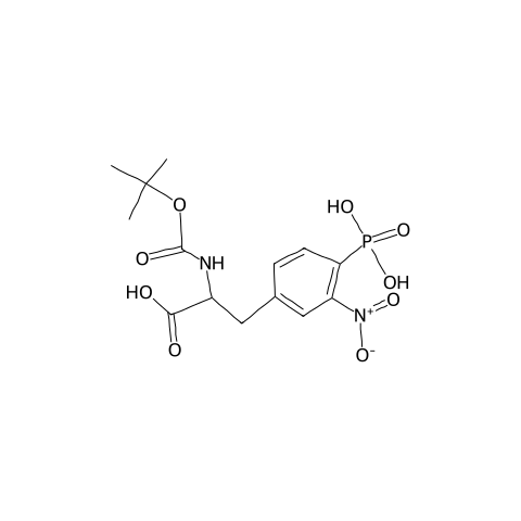 CC(C)(C)OC(=O)NC(Cc1ccc(P(=O)(O)O)c([N+](=O)[O-])c1)C(=O)O